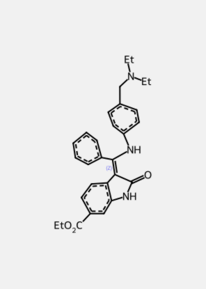 CCOC(=O)c1ccc2c(c1)NC(=O)/C2=C(\Nc1ccc(CN(CC)CC)cc1)c1ccccc1